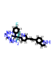 CC(CN(N)/C=N\N)(c1ccc(F)cc1F)C(F)(F)c1ccc(C#Cc2ccc3[nH]ccc3c2)cn1